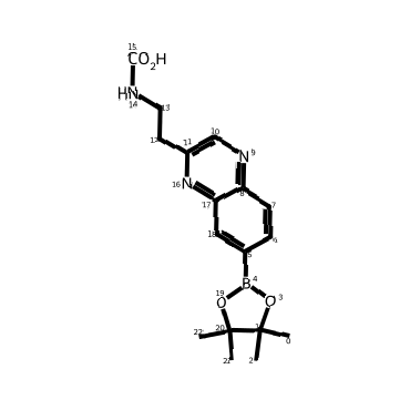 CC1(C)OB(c2ccc3ncc(CCNC(=O)O)nc3c2)OC1(C)C